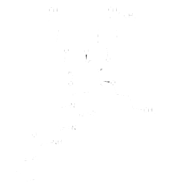 CCCCOC[C@H]1O[C@@H](n2ccc(NC(=O)c3ccccc3)nc2=O)C[C@H](OCCCC)[C@@H](OCCCC)[C@@H]1OCCCC